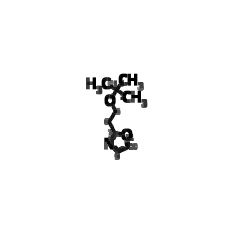 CC(C)(C)OCCc1ncco1